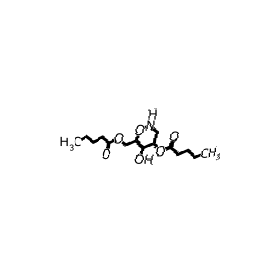 CCCCC(=O)OCC1ONCC(OC(=O)CCCC)C1O